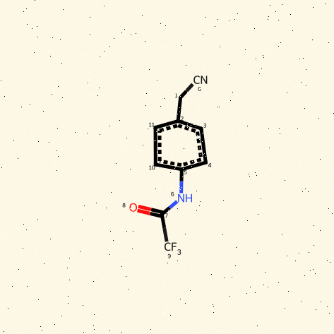 N#CCc1ccc(NC(=O)C(F)(F)F)cc1